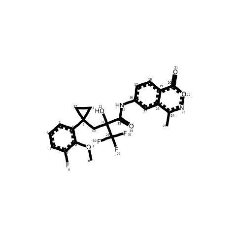 COc1c(F)cccc1C1(CC(O)(C(=O)Nc2ccc3c(=O)onc(C)c3c2)C(F)(F)F)CC1